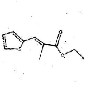 CCOC(=O)/C(C)=C/c1cccs1